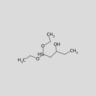 CCO[SiH](CC(O)CC)OCC